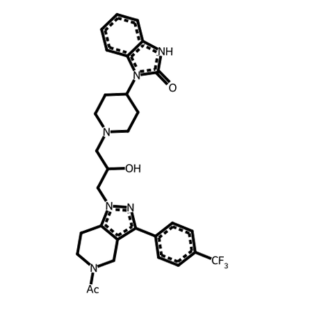 CC(=O)N1CCc2c(c(-c3ccc(C(F)(F)F)cc3)nn2CC(O)CN2CCC(n3c(=O)[nH]c4ccccc43)CC2)C1